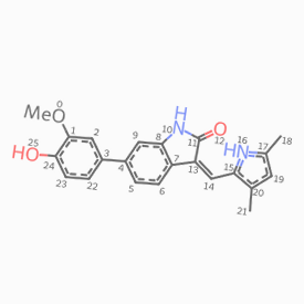 COc1cc(-c2ccc3c(c2)NC(=O)/C3=C\c2[nH]c(C)cc2C)ccc1O